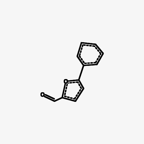 O=Cc1ccc(-c2ccccc2)o1